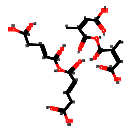 C/C(=C/C(=O)O)C(=O)OC(=O)/C(C)=C\C(=O)O.O=C(O)C/C=C/C(=O)OC(=O)/C=C/CC(=O)O